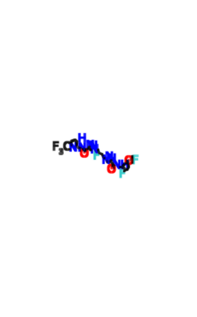 CC(C)(F)Oc1ccc(F)c(CNC(=O)c2cn(CCC(F)Cn3cc(C(=O)NCc4cccc(C(F)(F)F)n4)nn3)nn2)c1